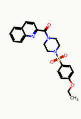 CCOc1ccc(S(=O)(=O)N2CCN(C(=O)c3ccc4ccccc4n3)CC2)cc1